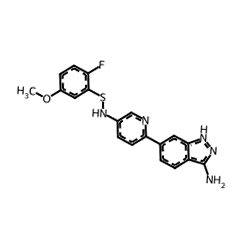 COc1ccc(F)c(SNc2ccc(-c3ccc4c(N)n[nH]c4c3)nc2)c1